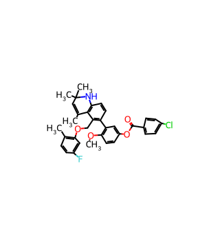 COc1ccc(OC(=O)c2ccc(Cl)cc2)cc1-c1ccc2c(c1COc1cc(F)ccc1C)C(C)=CC(C)(C)N2